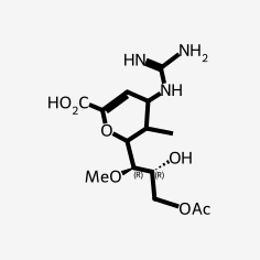 CO[C@@H](C1OC(C(=O)O)=CC(NC(=N)N)C1C)[C@H](O)COC(C)=O